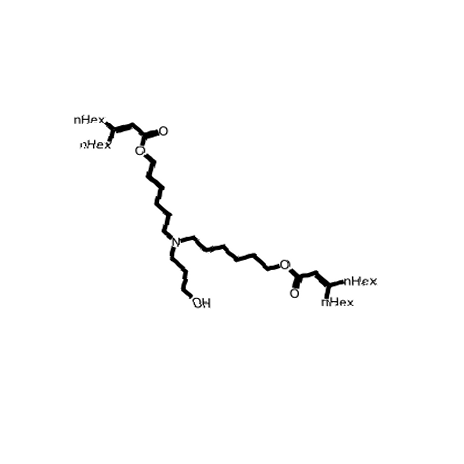 CCCCCCC(=CC(=O)OCCCCCCN(CCCO)CCCCCCOC(=O)C=C(CCCCCC)CCCCCC)CCCCCC